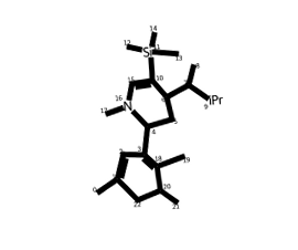 CC1=CC(C2CC(C(C)C(C)C)C([Si](C)(C)C)=CN2C)=C(C)C(C)C1